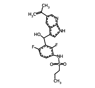 C=C(C)c1cnc2[nH]cc(C(O)c3c(F)ccc(NS(=O)(=O)CCC)c3F)c2c1